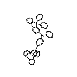 c1ccc(N(c2ccc(-c3ccc4c(c3)-c3c5cccc3-c3cccc-4c3-c3ccccc3-5)cc2)c2ccc3c(c2)C(c2ccccc2)(c2ccccc2)c2ccccc2-3)cc1